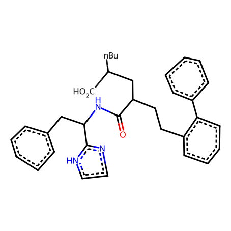 CCCCC(CC(CCc1ccccc1-c1ccccc1)C(=O)NC(Cc1ccccc1)c1ncc[nH]1)C(=O)O